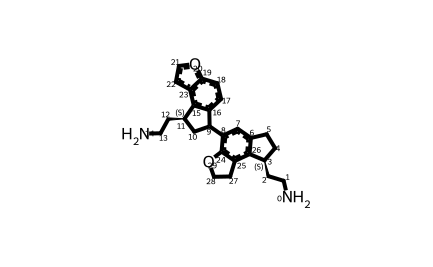 NCC[C@@H]1CCc2cc(C3C[C@@H](CCN)c4c3ccc3occc43)c3c(c21)CCO3